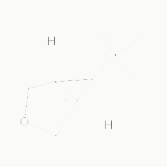 CC(C)(C)C1[C@H]2COC[C@@H]12